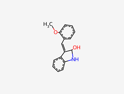 COc1ccccc1/C=C1/c2ccccc2NC1O